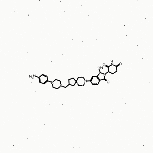 Nc1ccc(N2CCN(CC3CCC4(CCN(c5ccc6c(c5)C(O)N(C5CCC(=O)NC5=O)C6=O)CC4)C3)CC2)cc1